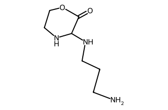 NCCCNC1NCCOC1=O